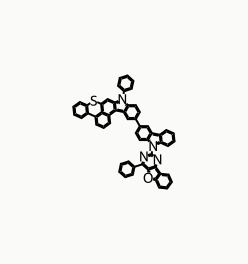 c1ccc(-c2nc(-n3c4ccccc4c4cc(-c5ccc6c(c5)c5c7cccc8c7c(cc5n6-c5ccccc5)Sc5ccccc5-8)ccc43)nc3c2oc2ccccc23)cc1